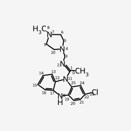 C/C(=N\CN1CCN(C)CC1)N1c2ccccc2Nc2ccc(Cl)cc21